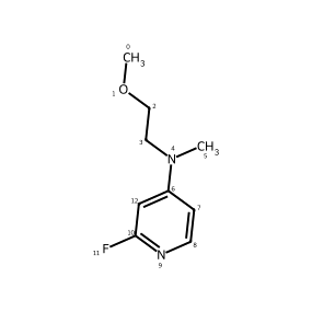 COCCN(C)c1ccnc(F)c1